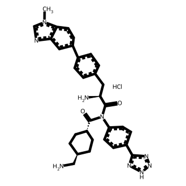 Cl.Cn1cnc2cc(-c3ccc(C[C@H](N)C(=O)N(c4ccc(-c5nn[nH]n5)cc4)C(=O)[C@H]4CC[C@H](CN)CC4)cc3)ccc21